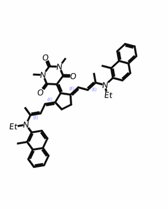 CCN(/C(C)=C/C=C1\CC/C(=C\C=C(/C)N(CC)c2ccc3ccccc3c2C)C1=C1C(=O)N(C)C(=O)N(C)C1=O)c1ccc2ccccc2c1C